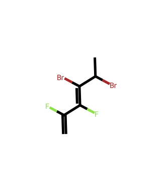 C=C(F)/C(F)=C(\Br)C(C)Br